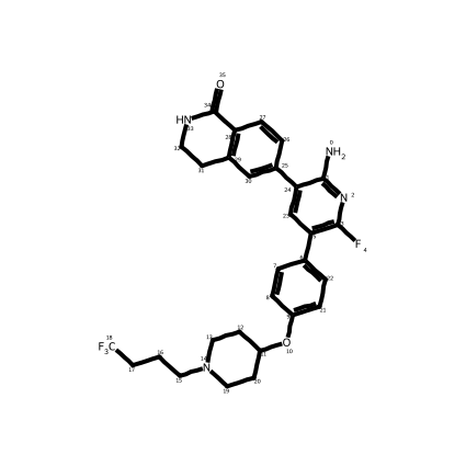 Nc1nc(F)c(-c2ccc(OC3CCN(CCCC(F)(F)F)CC3)cc2)cc1-c1ccc2c(c1)CCNC2=O